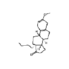 CCCC[C@]12CC[C@@H]3C4=C(CC[C@H]3[C@@H]1CCC2=O)CC(OC)=CC4